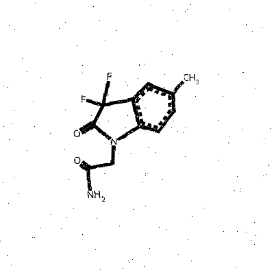 Cc1ccc2c(c1)C(F)(F)C(=O)N2CC(N)=O